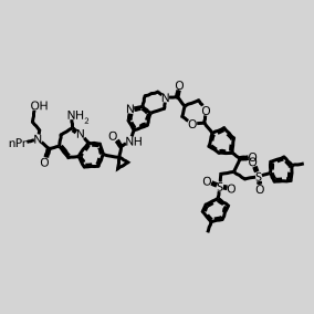 CCCN(CCO)C(=O)C1=Cc2ccc(C3(C(=O)Nc4cnc5c(c4)CN(C(=O)C4COC(c6ccc(C(=O)C(CS(=O)(=O)c7ccc(C)cc7)CS(=O)(=O)c7ccc(C)cc7)cc6)OC4)CC5)CC3)cc2N=C(N)C1